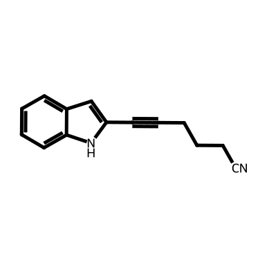 N#CCCCC#Cc1cc2ccccc2[nH]1